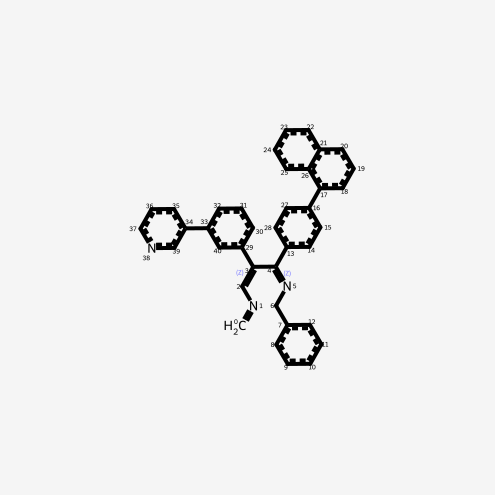 C=N/C=C(\C(=N/Cc1ccccc1)c1ccc(-c2cccc3ccccc23)cc1)c1cccc(-c2cccnc2)c1